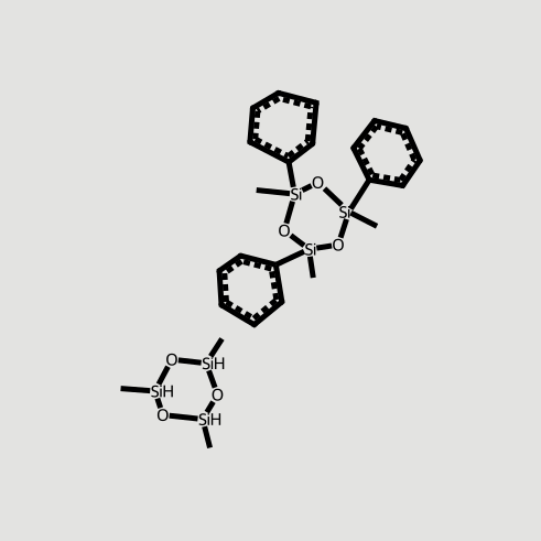 C[SiH]1O[SiH](C)O[SiH](C)O1.C[Si]1(c2ccccc2)O[Si](C)(c2ccccc2)O[Si](C)(c2ccccc2)O1